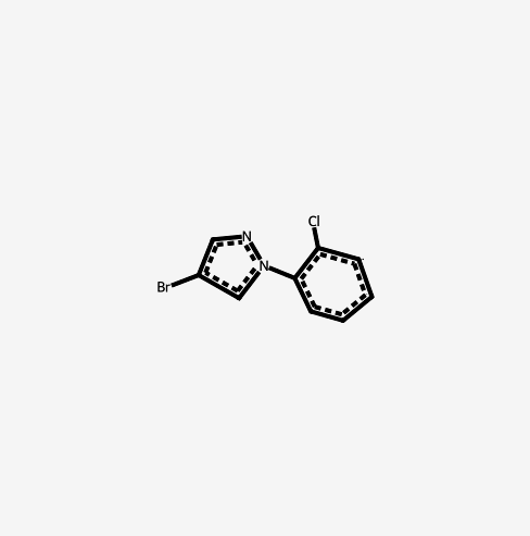 Clc1[c]cccc1-n1cc(Br)cn1